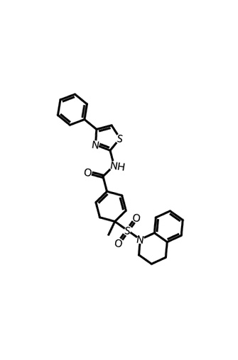 CC1(S(=O)(=O)N2CCCc3ccccc32)C=CC(C(=O)Nc2nc(-c3ccccc3)cs2)=CC1